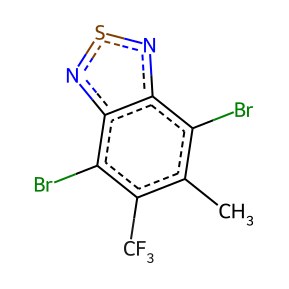 Cc1c(C(F)(F)F)c(Br)c2nsnc2c1Br